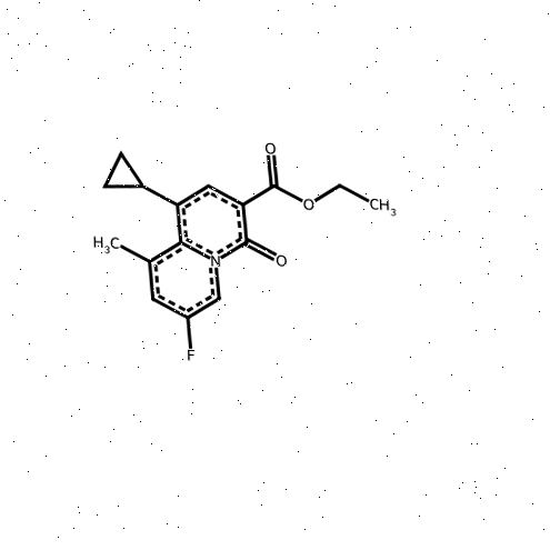 CCOC(=O)c1cc(C2CC2)c2c(C)cc(F)cn2c1=O